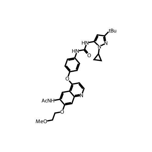 COCCOc1cc2nccc(Oc3ccc(NC(=O)Nc4cc(C(C)(C)C)nn4C4CC4)cc3)c2cc1NC(C)=O